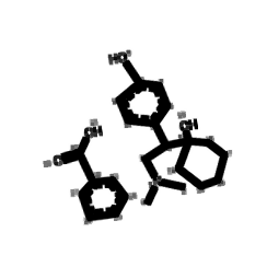 CN(C)CC(c1ccc(O)cc1)C1(O)CCCCC1.O=C(O)c1ccccc1